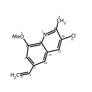 C=Cc1cc(OC)c2nc(C)c(Cl)cc2c1